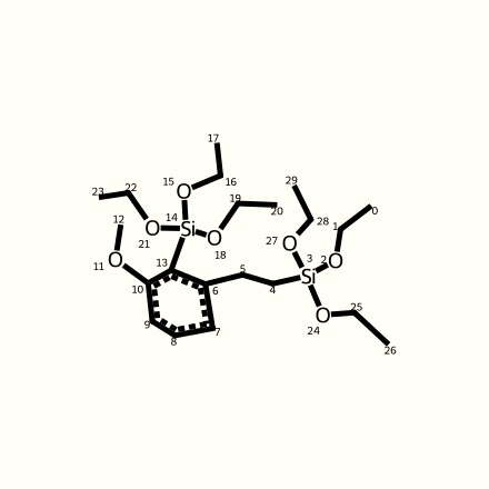 CCO[Si](CCc1cccc(OC)c1[Si](OCC)(OCC)OCC)(OCC)OCC